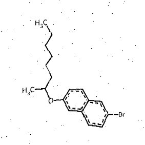 CCCCCCC(C)Oc1ccc2cc(Br)ccc2c1